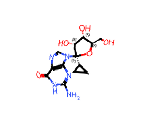 Nc1nc2c(ncn2[C@]2(C3CC3)O[C@H](CO)[C@@H](O)[C@H]2O)c(=O)[nH]1